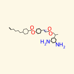 C=CCCCCC1CCC(C(=O)Oc2ccc(/C=C/C(=O)OCC(C)c3cc(N)cc(N)c3)cc2)CC1